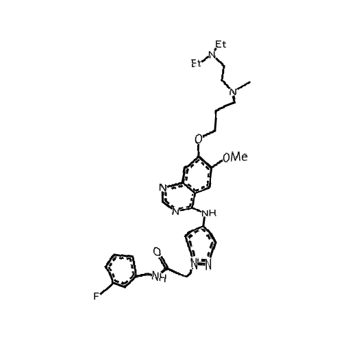 CCN(CC)CCN(C)CCCOc1cc2ncnc(Nc3cnn(CC(=O)Nc4cccc(F)c4)c3)c2cc1OC